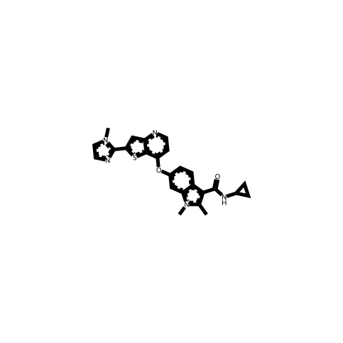 Cc1c(C(=O)NC2CC2)c2ccc(Oc3ccnc4cc(-c5nccn5C)sc34)cc2n1C